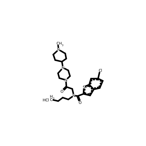 CCCCN(CC(=O)N1CCN(C2CCN(C)CC2)CC1)C(=O)c1cc2ccc(Cl)cc2s1.Cl